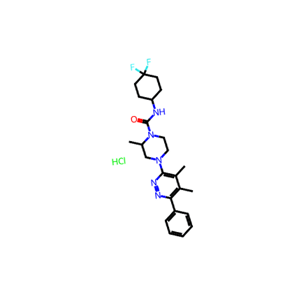 Cc1c(-c2ccccc2)nnc(N2CCN(C(=O)NC3CCC(F)(F)CC3)C(C)C2)c1C.Cl